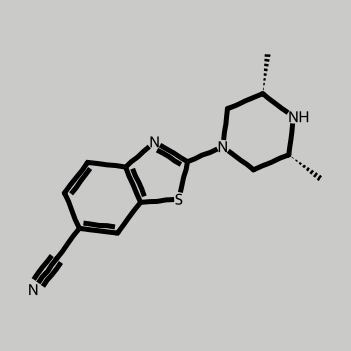 C[C@@H]1CN(c2nc3ccc(C#N)cc3s2)C[C@H](C)N1